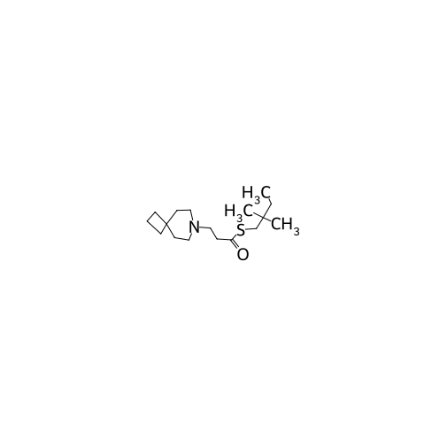 CCC(C)(C)CSC(=O)CCN1CCC2(CCC2)CC1